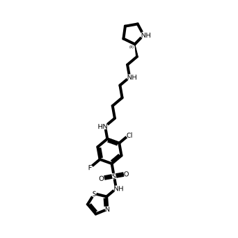 O=S(=O)(Nc1nccs1)c1cc(Cl)c(NCCCCNCC[C@H]2CCCN2)cc1F